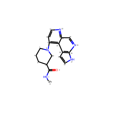 CC(C)NC(=O)C1CCCN(c2ccnc3cnc4[nH]ccc4c23)C1